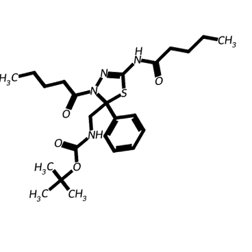 CCCCC(=O)NC1=NN(C(=O)CCCC)C(CNC(=O)OC(C)(C)C)(c2ccccc2)S1